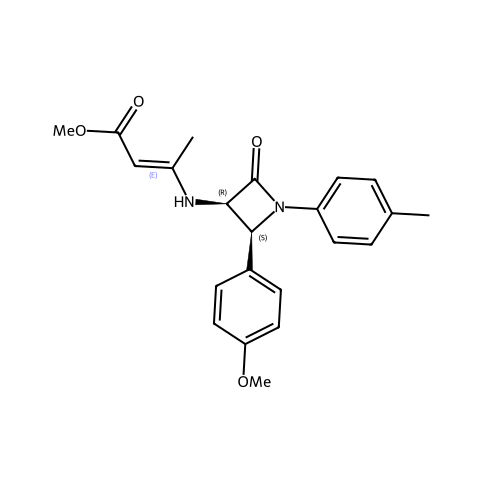 COC(=O)/C=C(\C)N[C@H]1C(=O)N(c2ccc(C)cc2)[C@H]1c1ccc(OC)cc1